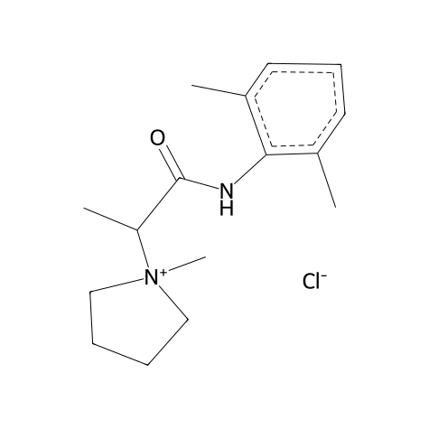 Cc1cccc(C)c1NC(=O)C(C)[N+]1(C)CCCC1.[Cl-]